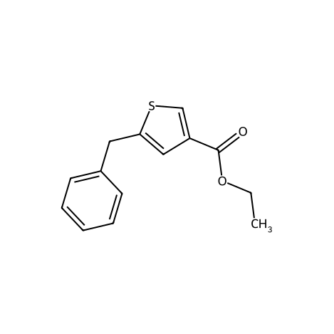 CCOC(=O)c1csc(Cc2ccccc2)c1